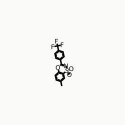 Cc1ccc2c(c1)S(=O)(=O)N=C(c1ccc(C(F)(F)F)cc1)O2